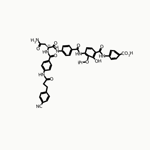 CC(C)Oc1c(NC(=O)c2ccc(NC(=O)[C@H](CC(N)=O)NC(=O)c3ccc(NC(=O)CCc4ccc(C#N)cc4)cc3)cc2)ccc(C(=O)Nc2ccc(C(=O)O)cc2)c1O